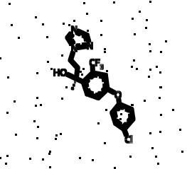 C[C@](O)(CCn1cncn1)c1ccc(Oc2ccc(Cl)cc2)cc1C(F)(F)F